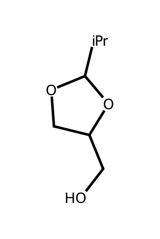 CC(C)C1OCC(CO)O1